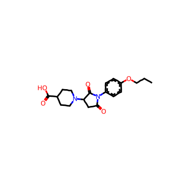 CCCOc1ccc(N2C(=O)CC(N3CCC(C(=O)O)CC3)C2=O)cc1